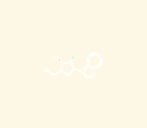 OC[C@H]1O[C@@H](n2cnc3cncnc32)[C@H](F)[C@@H]1O